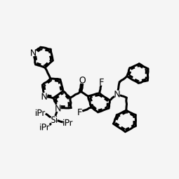 CC(C)[Si](C(C)C)(C(C)C)n1cc(C(=O)c2c(F)ccc(N(Cc3ccccc3)Cc3ccccc3)c2F)c2cc(-c3cccnc3)cnc21